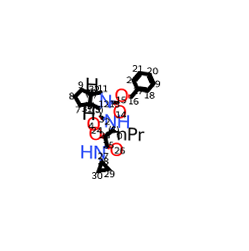 CCC[C@H](NC(=O)[C@@H]1[C@H]2CCC[C@H]2CN1C(=O)OCc1ccccc1)C(=O)C(=O)NC1CC1